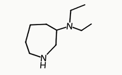 CCN(CC)C1CCCCNC1